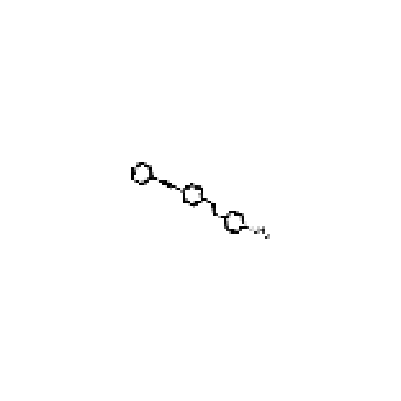 Nc1ccc(C=Cc2ccc(C#Cc3ccccc3)cc2)cc1